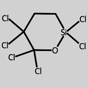 ClC1(Cl)CC[Si](Cl)(Cl)OC1(Cl)Cl